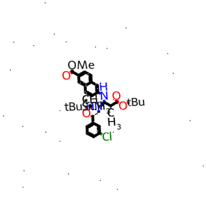 COC(=O)c1ccc2cc(NC(NC[C@@H](O[Si](C)(C)C(C)(C)C)c3cccc(Cl)c3)[C@@H](C)C(=O)OC(C)(C)C)ccc2c1